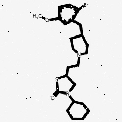 COc1ccc(Br)c(CC2CCN(CCC3CN(C4CCCCC4)C(=O)S3)CC2)c1